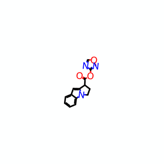 O=C(Oc1ncon1)C1CCn2c1cc1ccccc12